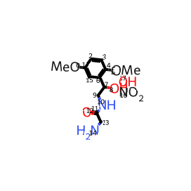 COc1ccc(OC)c(C(O)CNC(=O)CN)c1.O=[N+]([O-])O